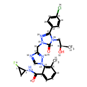 O=C(N[C@@H]1C[C@H]1F)c1cccc(C(F)(F)F)c1-n1cnc(Cn2nc(-c3ccc(Cl)cc3)n(C[C@H](O)C(F)(F)F)c2=O)n1